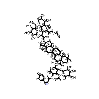 CC(=O)OC1C(OC(=O)/C=C\c2ccc(C)cc2)C(C)OC(OC(=O)[C@]23CCC(C)(C)C[C@H]2C2C=C[C@@H]4[C@@]5(C)CC[C@H](OC6OC(COC=O)C(O)C(OC7OCC(O)C(O)C7O)C6OC6OC(CO)C(O)C(O)C6O)[C@@](C)(C=O)[C@@H]5CC[C@@]4(C)[C@]2(C)C[C@H]3O)C1OC1OC(C)C(O)C(O)C1O